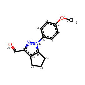 COc1ccc(-n2nc(C=O)c3c2CCC3)cc1